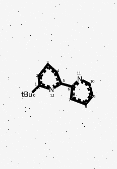 CC(C)(C)c1cccc(-c2ccccn2)n1